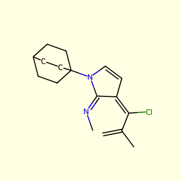 C=C(C)/C(Cl)=C1/C=CN(C23CCC(CC2)CC3)/C1=N/C